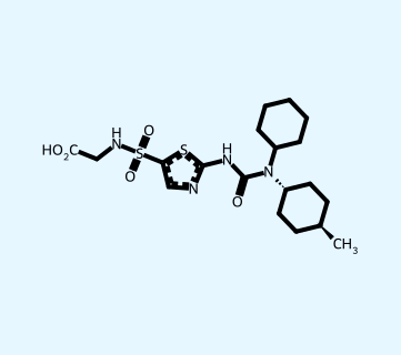 C[C@H]1CC[C@H](N(C(=O)Nc2ncc(S(=O)(=O)NCC(=O)O)s2)C2CCCCC2)CC1